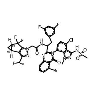 Cn1nc(NS(C)(=O)=O)c2c(Cl)ccc(-n3c(C(Cc4cc(F)cc(F)c4)NC(=O)Cn4nc(C(F)F)c5c4C(F)(F)[C@@H]4C[C@H]54)nc4cccc(Br)c4c3=O)c21